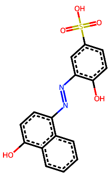 O=S(=O)(O)c1ccc(O)c(N=Nc2ccc(O)c3ccccc23)c1